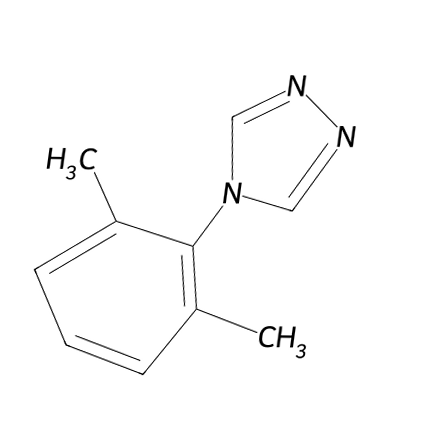 Cc1cccc(C)c1-n1cnnc1